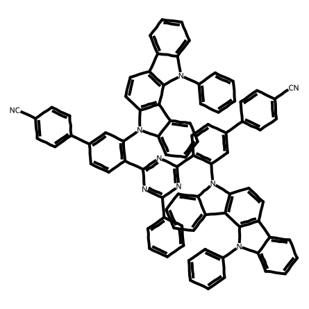 N#Cc1ccc(-c2ccc(-c3nc(-c4ccccc4)nc(-c4ccc(-c5ccc(C#N)cc5)cc4-n4c5ccccc5c5c4ccc4c6ccccc6n(-c6ccccc6)c45)n3)c(-n3c4ccccc4c4c3ccc3c5ccccc5n(-c5ccccc5)c34)c2)cc1